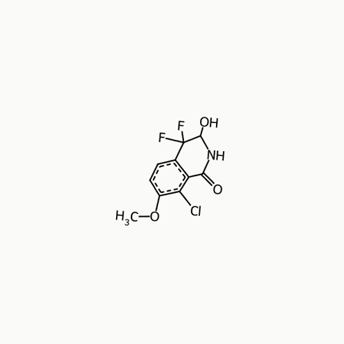 COc1ccc2c(c1Cl)C(=O)NC(O)C2(F)F